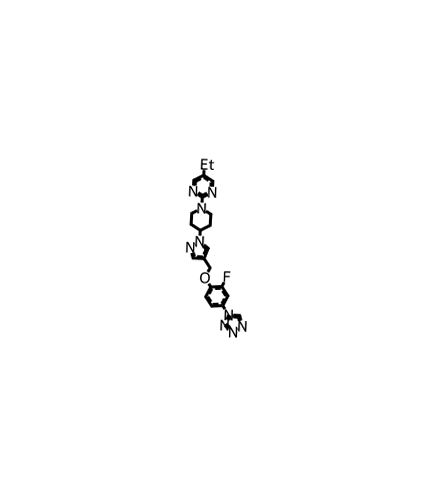 CCc1cnc(N2CCC(n3cc(COc4ccc(-n5cnnn5)cc4F)cn3)CC2)nc1